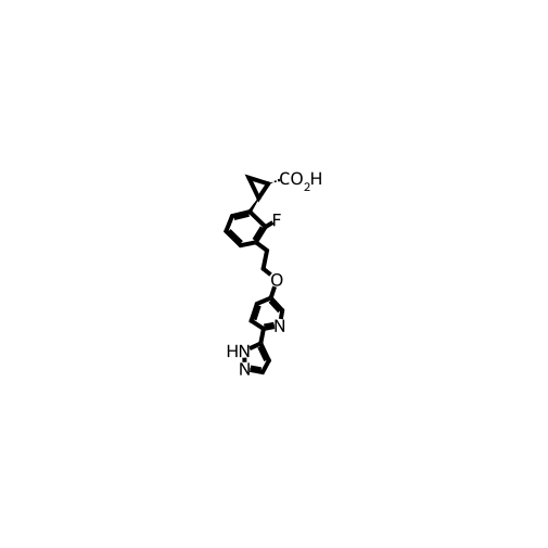 O=C(O)[C@H]1C[C@@H]1c1cccc(CCOc2ccc(-c3ccn[nH]3)nc2)c1F